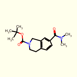 CN(C)C(=O)c1ccc2c(c1)CN(C(=O)OC(C)(C)C)CC2